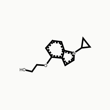 OCCOc1c[c]cc2c1ccn2C1CC1